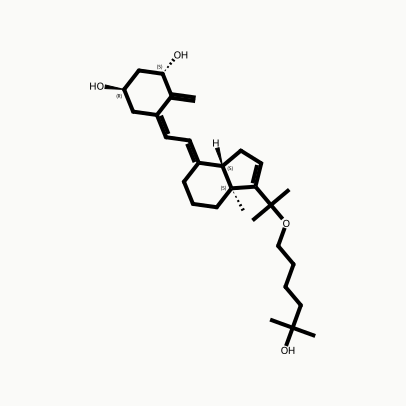 C=C1C(=CC=C2CCC[C@]3(C)C(C(C)(C)OCCCCC(C)(C)O)=CC[C@@H]23)C[C@@H](O)C[C@@H]1O